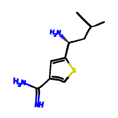 CC(C)C[C@@H](N)c1cc(C(=N)N)cs1